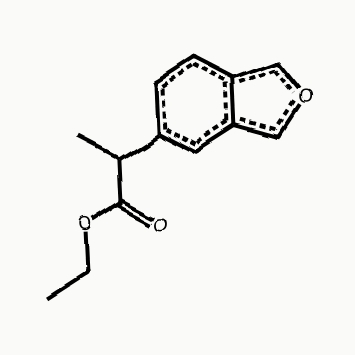 CCOC(=O)C(C)c1ccc2cocc2c1